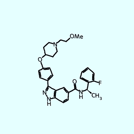 COCCN1CCC(Oc2ccc(-c3n[nH]c4ccc(C(=O)N[C@H](C)c5ccccc5F)cc34)cc2)CC1